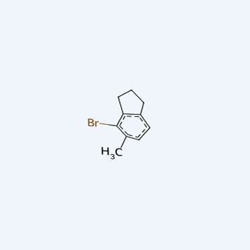 Cc1ccc2c(c1Br)CCC2